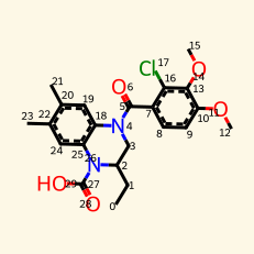 CCC1CN(C(=O)c2ccc(OC)c(OC)c2Cl)c2cc(C)c(C)cc2N1C(=O)O